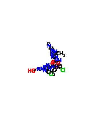 Cc1nc(N2CCC(N3CCCC3)CC2)nc2ncc(NC(=O)C(Oc3ccc(Cl)cc3)C(Oc3ccc(Cl)cc3)C(=O)Nc3cnc4nc(N5CCN(CCO)CC5)nc(C)c4n3)nc12